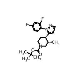 C[C@H]1CN(C(=O)OC(C)(C)C)CC[C@H]1c1ccnn1-c1ccc(F)cc1F